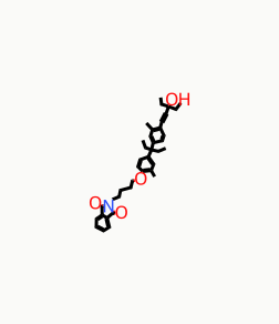 CCC(O)(C#Cc1ccc(C(CC)(CC)c2ccc(OCCCCCN3C(=O)c4ccccc4C3=O)c(C)c2)cc1C)CC